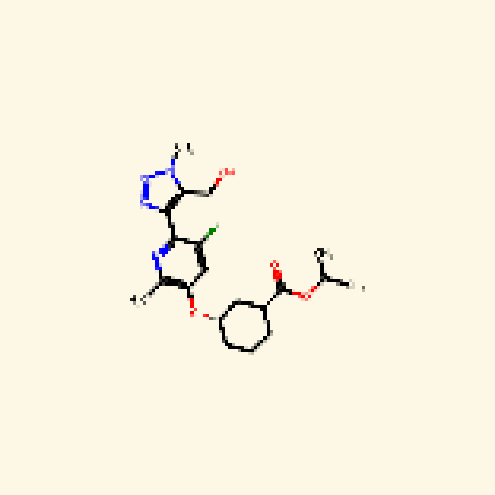 Cc1nc(-c2nnn(C)c2CO)c(F)cc1O[C@H]1CCC[C@H](C(=O)OC(C)C)C1